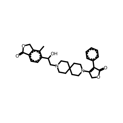 Cc1c(C(O)CN2CCC3(CC2)CCN(C2=C(c4ccccc4)C(=O)OC2)CC3)ccc2c1COC2=O